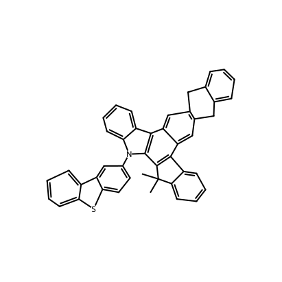 CC1(C)c2ccccc2-c2c1c1c(c3cc4c(cc23)Cc2ccccc2C4)c2ccccc2n1-c1ccc2sc3ccccc3c2c1